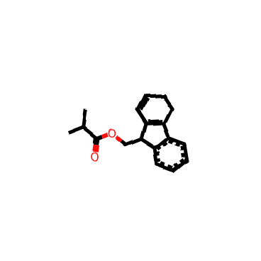 CC(C)C(=O)OCC1C2=C(CCC=C2)c2ccccc21